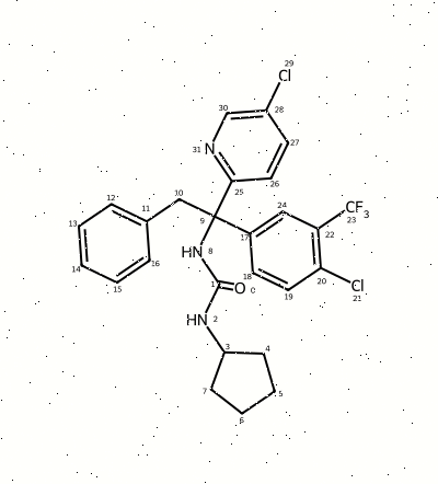 O=C(NC1CCCC1)NC(Cc1ccccc1)(c1ccc(Cl)c(C(F)(F)F)c1)c1ccc(Cl)cn1